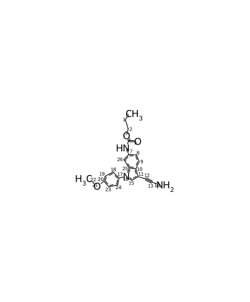 CCCOC(=O)Nc1ccc2c(C#CN)cn(-c3ccc(OC)cc3)c2c1